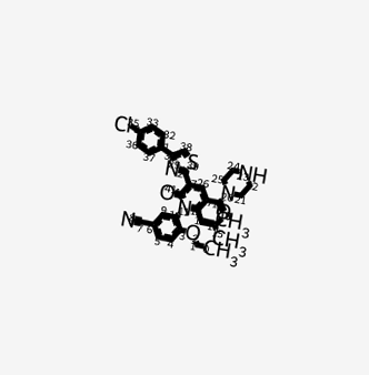 CCOc1ccc(C#N)cc1-n1c(C=C(C)C)c(C(=O)N2CCNCC2)cc(-c2nc(-c3ccc(Cl)cc3)cs2)c1=O